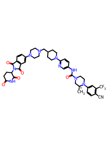 C[C@H]1CN(C(=O)Nc2ccc(N3CCC(CN4CCN(c5ccc6c(c5)C(=O)N(C5CCC(=O)NC5=O)C6=O)CC4)CC3)nc2)CCN1c1ccc(C#N)c(C(F)(F)F)c1